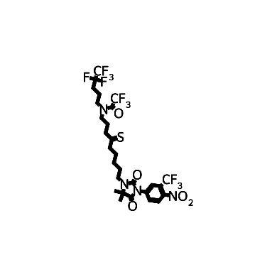 CC1(C)C(=O)N(c2ccc([N+](=O)[O-])c(C(F)(F)F)c2)C(=O)N1CCCCCC(=S)CCCN(CCCC(F)(F)C(F)(F)F)C(=O)C(F)(F)F